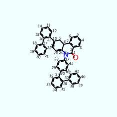 O=C1c2ccccc2C2CC(c3ccccc3-c3ccccc3)=CC=C2N1c1ccc(-c2ccccc2-c2ccccc2)cc1